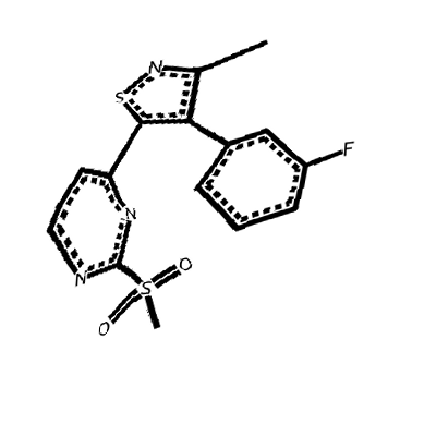 Cc1nsc(-c2ccnc(S(C)(=O)=O)n2)c1-c1cccc(F)c1